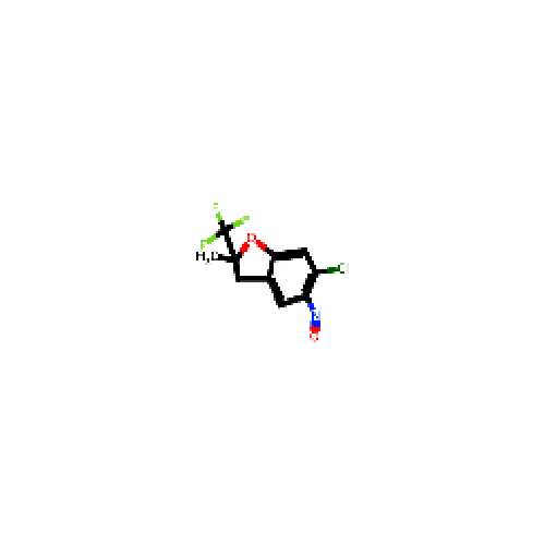 CC1(C(F)(F)F)Cc2cc(N=O)c(Cl)cc2O1